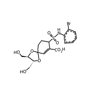 O=C(O)C1=CC2(CCC1S(=O)(=O)Nc1ccccc1Br)O[C@H](CO)[C@@H](CO)O2